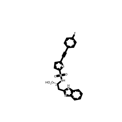 O=C(O)[C@@H](Cc1nc2ccccc2[nH]1)NS(=O)(=O)c1ccc(C#Cc2ccc(F)cc2)s1